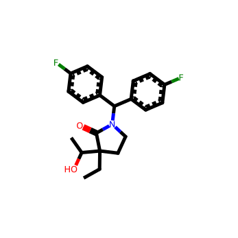 CCC1(C(C)O)CCN(C(c2ccc(F)cc2)c2ccc(F)cc2)C1=O